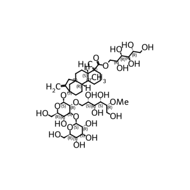 C=C1C[C@@]23CC[C@H]4[C@@](C)(CCC[C@@]4(C)C(=O)OC[C@@H](O)[C@@H](O)[C@H](O)[C@H](O)CO)[C@@H]2CC[C@]1(O[C@@H]1O[C@H](CO)[C@@H](O)[C@H](O[C@@H]2O[C@H](CO)[C@@H](O)[C@H](O)[C@H]2O)[C@H]1OC[C@H](O)[C@@H](O)[C@H](O)[C@@H](CO)OC)C3